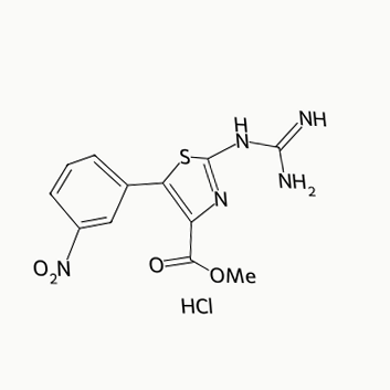 COC(=O)c1nc(NC(=N)N)sc1-c1cccc([N+](=O)[O-])c1.Cl